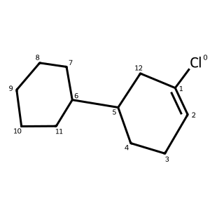 ClC1=CCCC(C2CCCCC2)C1